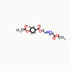 COC(=O)CCNCCOC(=O)c1ccc(OC(C)=O)cc1